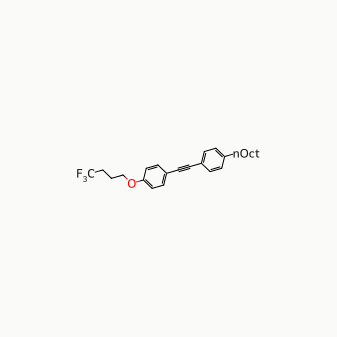 CCCCCCCCc1ccc(C#Cc2ccc(OCCCC(F)(F)F)cc2)cc1